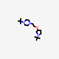 CC(C)(C)N1CCN(CCOC2CCN(C(C)(C)C)C2)CC1